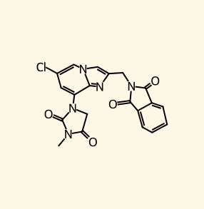 CN1C(=O)CN(c2cc(Cl)cn3cc(CN4C(=O)c5ccccc5C4=O)nc23)C1=O